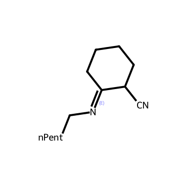 CCCCCC/N=C1\CCCCC1C#N